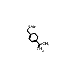 C=C(C)C1=CC=C(CNC)CC1